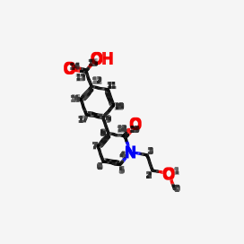 COCCn1cccc(-c2ccc(C(=O)O)cc2)c1=O